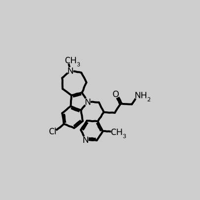 Cc1cnccc1C(CC(=O)CN)Cn1c2c(c3cc(Cl)ccc31)CCN(C)CC2